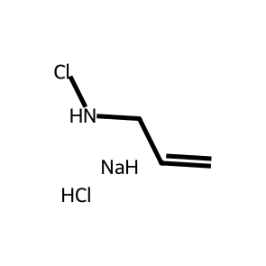 C=CCNCl.Cl.[NaH]